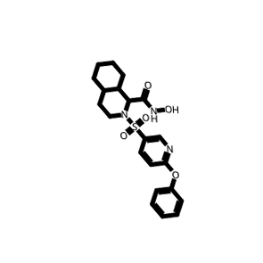 O=C(NO)C1C2CCCCC2CCN1S(=O)(=O)c1ccc(Oc2ccccc2)nc1